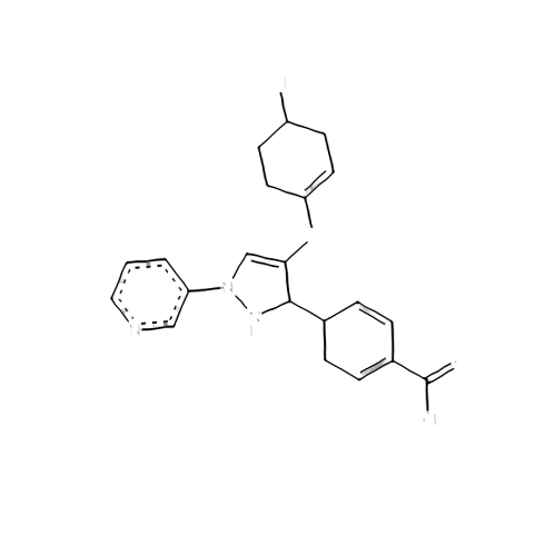 CC(=O)C1=CCC(C2NN(c3cccnc3)C=C2SC2=CCC(Cl)CC2)C=C1